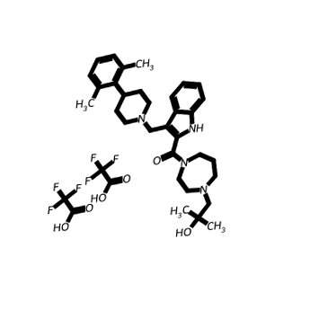 Cc1cccc(C)c1C1CCN(Cc2c(C(=O)N3CCCN(CC(C)(C)O)CC3)[nH]c3ccccc23)CC1.O=C(O)C(F)(F)F.O=C(O)C(F)(F)F